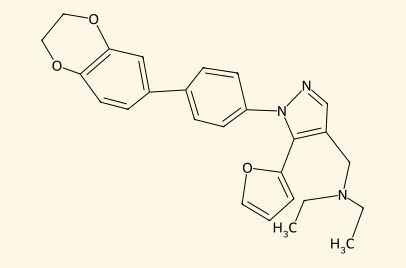 CCN(CC)Cc1cnn(-c2ccc(-c3ccc4c(c3)OCCO4)cc2)c1-c1ccco1